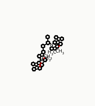 CC1(C)c2ccccc2-c2c(N(c3cc(-c4ccccc4)cc(-c4cccc(-c5ccc6c(c5)-c5cccc(N(c7ccc8c(c7)-c7ccccc7C87c8ccccc8-c8ccccc87)c7ccccc7-c7ccccc7)c5C6(C)C)c4)c3)c3ccc4c(c3)-c3ccccc3C43c4ccccc4-c4ccccc43)cccc21